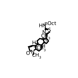 CCCCCCCCNc1nc(C2CC[C@H]3[C@@H]4CCC5N(C)C(=O)C=C[C@]5(C)[C@@H]4CC[C@]23C)cs1